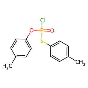 Cc1ccc(OP(=O)(Cl)Sc2ccc(C)cc2)cc1